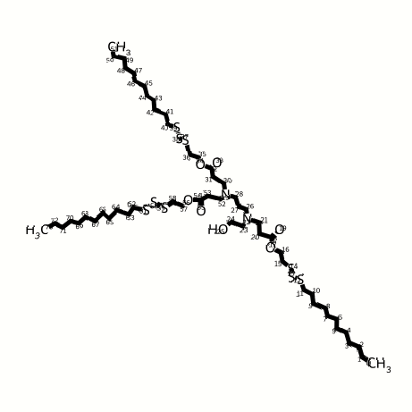 CCCCCCCCCCCCSSSCCOC(=O)CCN(CCO)CCCN(CCC(=O)OCCSSSCCCCCCCCCCCC)CCC(=O)OCCSSSCCCCCCCCCCCC